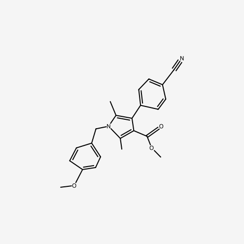 COC(=O)c1c(-c2ccc(C#N)cc2)c(C)n(Cc2ccc(OC)cc2)c1C